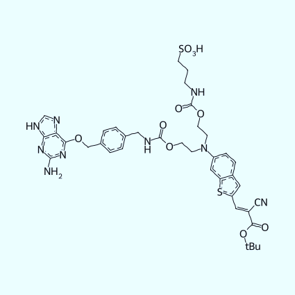 CC(C)(C)OC(=O)/C(C#N)=C/c1cc2ccc(N(CCOC(=O)NCCCS(=O)(=O)O)CCOC(=O)NCc3ccc(COc4nc(N)nc5[nH]cnc45)cc3)cc2s1